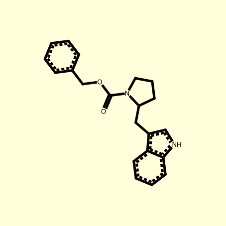 O=C(OCc1ccccc1)N1CCCC1Cc1c[nH]c2ccccc12